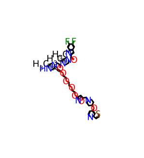 C[C@@H]1CN(CC(=O)N2CCN(C(=O)c3cc4cc(F)c(F)cc4n3C)C[C@H]2C)[C@@H](C#COCCOCCOCCOc2cc(CN3CCC(Oc4ccnc5ccsc45)CC3)on2)CN1